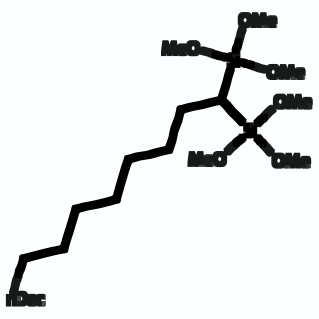 CCCCCCCCCCCCCCCCCC([Si](OC)(OC)OC)[Si](OC)(OC)OC